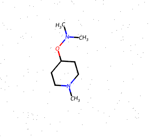 CN1CCC(ON(C)C)CC1